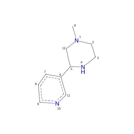 CN1CCNC(c2cccnc2)C1